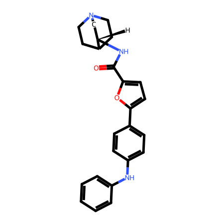 O=C(N[C@H]1CN2CCC1CC2)c1ccc(-c2ccc(Nc3ccccc3)cc2)o1